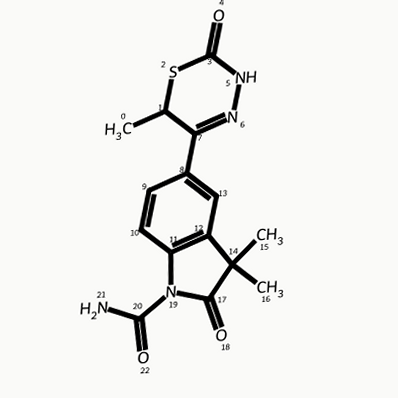 CC1SC(=O)NN=C1c1ccc2c(c1)C(C)(C)C(=O)N2C(N)=O